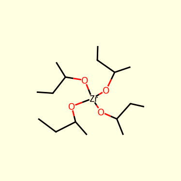 CCC(C)[O][Zr]([O]C(C)CC)([O]C(C)CC)[O]C(C)CC